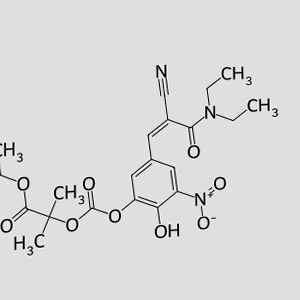 CCOC(=O)C(C)(C)OC(=O)Oc1cc(C=C(C#N)C(=O)N(CC)CC)cc([N+](=O)[O-])c1O